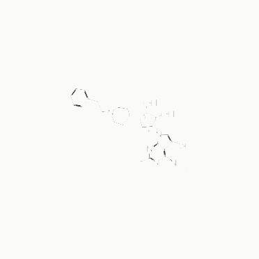 Nc1nc(Cl)nc2c1c(Br)cn2[C@@H]1C[C@H](C2CCN(CCc3ccccc3)CC2)[C@@H](O)[C@H]1O